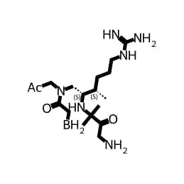 BCC(=O)N(CC(C)=O)C[C@@H](NC(C)(C)C(=O)CN)[C@@H](C)CCCNC(=N)N